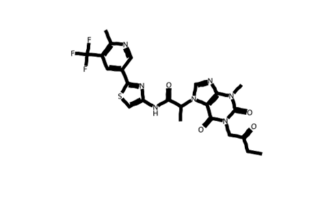 CCC(=O)Cn1c(=O)c2c(ncn2C(C)C(=O)Nc2csc(-c3cnc(C)c(C(F)(F)F)c3)n2)n(C)c1=O